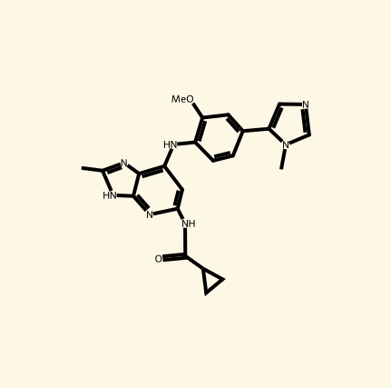 COc1cc(-c2cncn2C)ccc1Nc1cc(NC(=O)C2CC2)nc2[nH]c(C)nc12